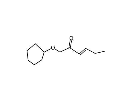 CCC=CC(=O)COC1CCCCC1